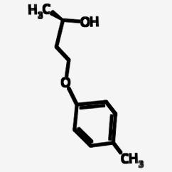 Cc1ccc(OCC[C@@H](C)O)cc1